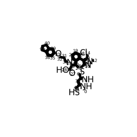 CN/C(=C\C(=N)CSCc1nn(C)c(C)c1-c1c(Cl)ccc2c1c(C)c(C(=O)O)n2CCCOc1ccc2c(c1)CCC2)CS